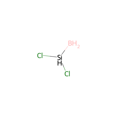 B[SiH](Cl)Cl